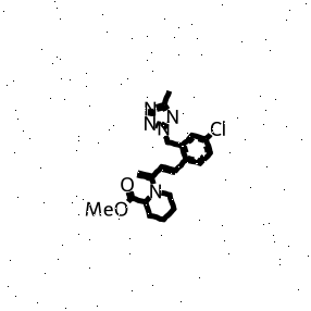 C=C(/C=C/c1ccc(Cl)cc1Cn1nnc(C)n1)N1CCCCC1C(=O)OC